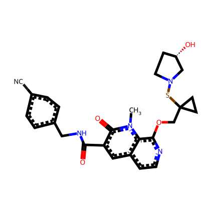 Cn1c(=O)c(C(=O)NCc2ccc(C#N)cc2)cc2ccnc(OCC3(SN4CC[C@H](O)C4)CC3)c21